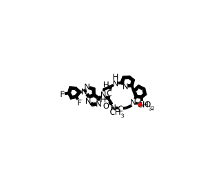 CN1CCCN(C)c2c(cccc2[N+](=O)[O-])-c2cccc(n2)N[C@H]2C[C@@H](C1=O)N(c1ncnc3c1cnn3-c1ccc(F)cc1F)C2